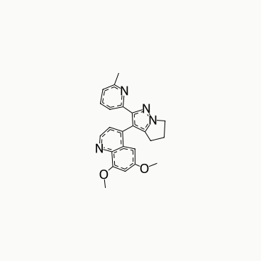 COc1cc(OC)c2nccc(-c3c(-c4cccc(C)n4)nn4c3CCC4)c2c1